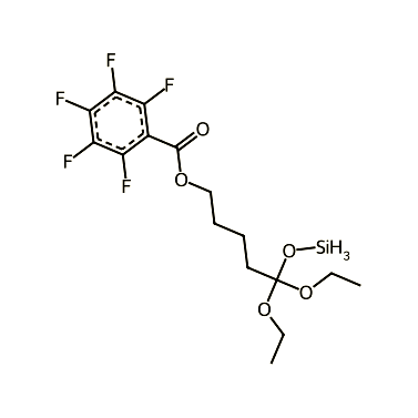 CCOC(CCCCOC(=O)c1c(F)c(F)c(F)c(F)c1F)(O[SiH3])OCC